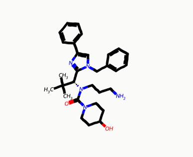 CC(C)(C)[C@H](c1nc(-c2ccccc2)cn1Cc1ccccc1)N(CCCN)C(=O)N1CCC(O)CC1